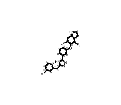 Fc1cc2[nH]ccc2c(F)c1Oc1cccc(-c2nnc(Cc3cccc(I)c3)[nH]2)c1